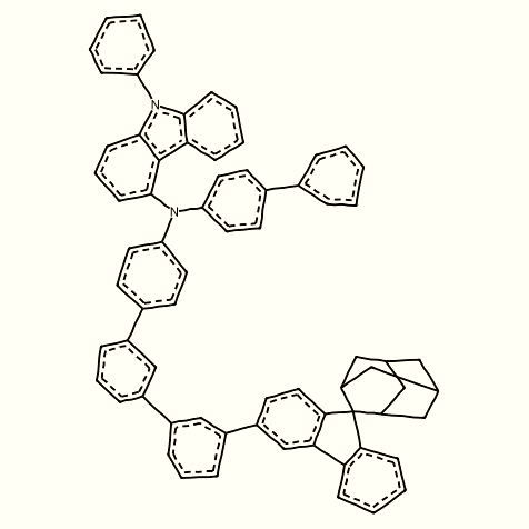 c1ccc(-c2ccc(N(c3ccc(-c4cccc(-c5cccc(-c6ccc7c(c6)-c6ccccc6C76C7CC8CC(C7)CC6C8)c5)c4)cc3)c3cccc4c3c3ccccc3n4-c3ccccc3)cc2)cc1